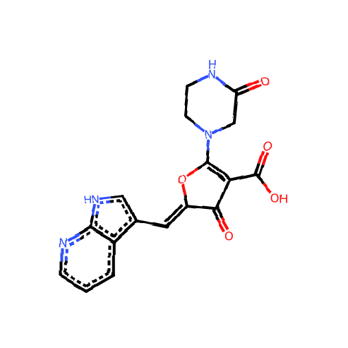 O=C1CN(C2=C(C(=O)O)C(=O)C(=Cc3c[nH]c4ncccc34)O2)CCN1